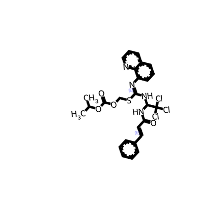 CC(C)OC(=O)OCS/C(=N/c1cccc2cccnc12)NC(NC(=O)/C=C/c1ccccc1)C(Cl)(Cl)Cl